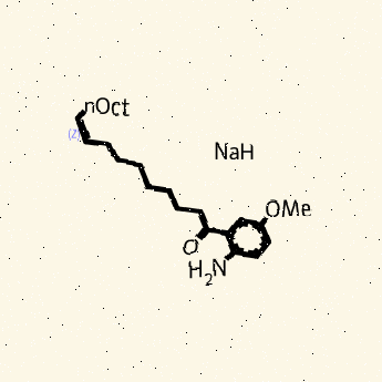 CCCCCCCC/C=C\CCCCCCCC(=O)c1cc(OC)ccc1N.[NaH]